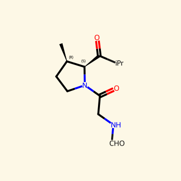 CC(C)C(=O)[C@@H]1[C@H](C)CCN1C(=O)CNC=O